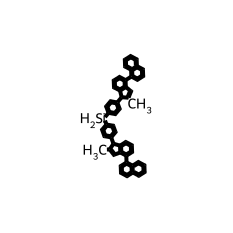 CC1=Cc2c(-c3cccc4ccccc34)cccc2C1c1ccc([SiH2]c2ccc(C3C(C)=Cc4c(-c5cccc6ccccc56)cccc43)cc2)cc1